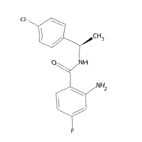 C[C@@H](NC(=O)c1ccc(F)cc1N)c1ccc(Cl)cc1